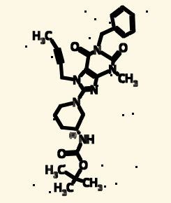 CC#CCn1c(N2CCC[C@@H](NC(=O)OC(C)(C)C)C2)nc2c1c(=O)n(Cc1ccccc1)c(=O)n2C